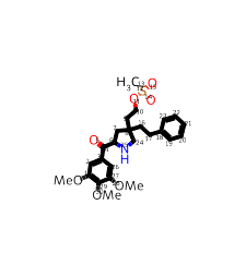 COc1cc(C(=O)C2CC(CCOS(C)(=O)=O)(CCc3ccccc3)CN2)cc(OC)c1OC